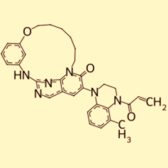 C=CC(=O)N1CCN(c2cc3cnc4nc3n(c2=O)CCCCCCOc2cccc(c2)N4)c2cccc(C)c21